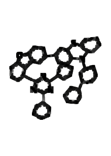 c1ccc(-c2cccc(N3c4ccccc4Sc4cc(-c5ccc6oc7cccc(-c8nc(-c9ccccc9)nc(-c9ccccc9)n8)c7c6c5)ccc43)c2)cc1